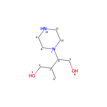 CC(CO)C(CO)N1CCNCC1